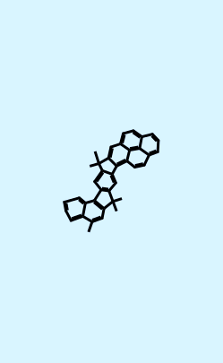 Cc1cc2c(c3ccccc13)-c1cc3c(cc1C2(C)C)-c1c(cc2ccc4cccc5ccc1c2c45)C3(C)C